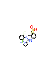 O=[SH](=O)Cc1cccc2c1CN(c1c(F)cccc1F)C([C@@H]1CCCN1)=N2